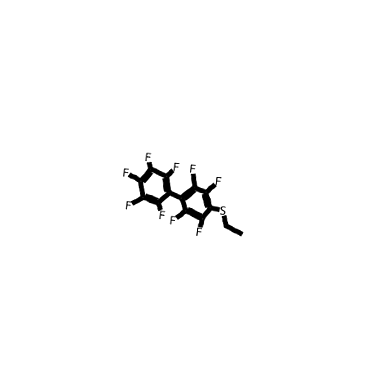 CCSc1c(F)c(F)c(-c2c(F)c(F)c(F)c(F)c2F)c(F)c1F